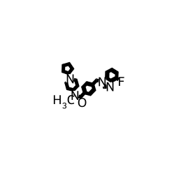 CN(C(=O)c1ccc(Cn2cnc3c(F)cccc32)cc1)C1CCN(C2CCCC2)CC1